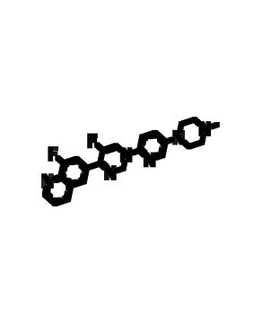 CN1CCN(c2ccc(N3C=C(F)C(c4cc(F)c5ncccc5c4)=NC3)nc2)CC1